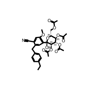 CCc1ccc(Cc2cc([C@]3(O)O[C@H](COC(C)=O)[C@@H](OC(C)=O)[C@H](OC(C)=O)[C@H]3OC(C)=O)c(OC)cc2C#N)cc1